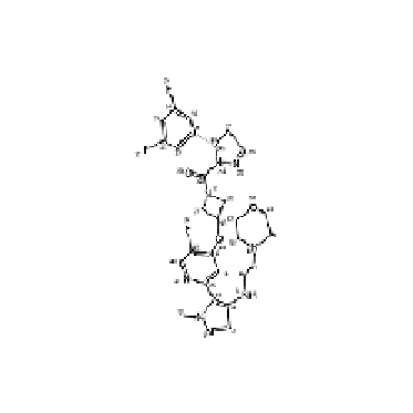 Cn1ncc(NCCN2CCOCC2)c1-c1cc(OC2CN(C(=O)N3N=CC[C@H]3c3cc(F)cc(F)c3)C2)c(F)cn1